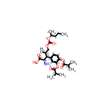 CCCC(C)OC(=O)OCC(C)C(c1ccc(OC(=O)C(C)C)c(OC(=O)C(C)C)c1)[C@H](N)C(=O)O